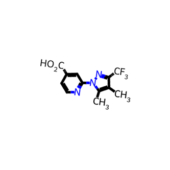 Cc1c(C(F)(F)F)nn(-c2cc(C(=O)O)ccn2)c1C